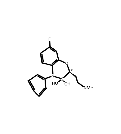 CNCC[C@@H]1Oc2cc(F)ccc2N(c2ccccc2)S1(O)O